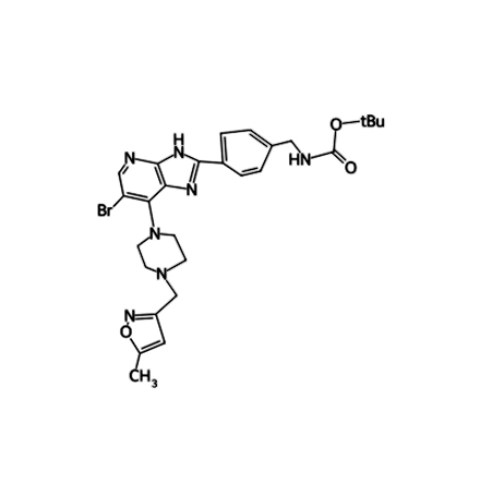 Cc1cc(CN2CCN(c3c(Br)cnc4[nH]c(-c5ccc(CNC(=O)OC(C)(C)C)cc5)nc34)CC2)no1